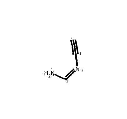 C#C/N=C\N